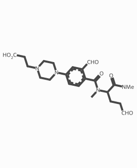 CNC(=O)C(CCC=O)N(C)C(=O)c1ccc(N2CCN(CCC(=O)O)CC2)cc1C=O